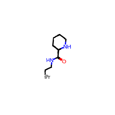 CC(C)CCNC(=O)C1CCCCN1